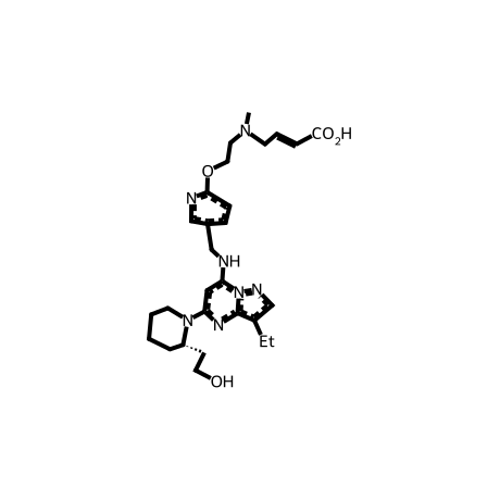 CCc1cnn2c(NCc3ccc(OCCN(C)CC=CC(=O)O)nc3)cc(N3CCCC[C@H]3CCO)nc12